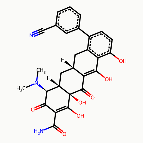 CN(C)[C@@H]1C(=O)C(C(N)=O)=C(O)[C@@]2(O)C(=O)C3=C(O)c4c(O)ccc(-c5cccc(C#N)c5)c4C[C@H]3C[C@@H]12